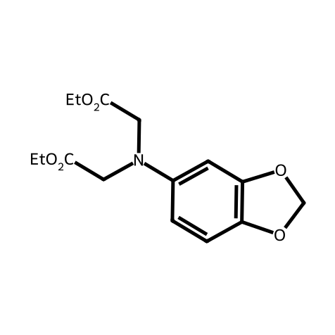 CCOC(=O)CN(CC(=O)OCC)c1ccc2c(c1)OCO2